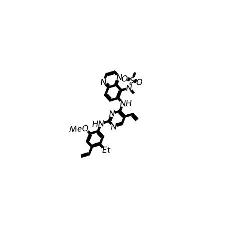 C=Cc1cc(OC)c(Nc2ncc(C=C)c(Nc3ccc4nccnc4c3N(C)S(C)(=O)=O)n2)cc1CC